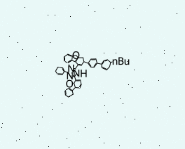 CCCCC1C=C=C(c2ccc(C3C=C(C4N=C(C5=CCCC=C5)N=C(C5=CC=CC6C7=C(C=CCC7)OC56)N4)c4c(oc5ccccc45)C3)cc2)C=CC1